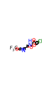 O=C1C[C@H](C(=O)NC23CC(c4cnn(C5CC(OC(F)(F)F)C5)c4)(C2)C3)Oc2ccc(Cl)cc21